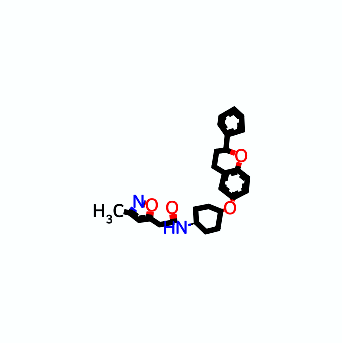 Cc1cc(CC(=O)N[C@H]2CC[C@H](Oc3ccc4c(c3)CCC(c3ccccc3)O4)CC2)on1